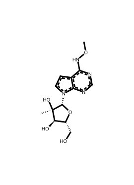 CONc1ncnc2c1ccn2[C@@H]1O[C@H](CO)[C@@H](O)[C@@]1(C)O